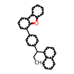 CCC(c1ccc(-c2cccc3c2oc2ccccc23)cc1)c1cccc2ccccc12